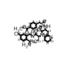 COC(=O)c1ccc(CS(=O)(=O)NC(Cc2ccccn2)C(=O)N[C@@H](CO)C(=O)NCc2cc(Cl)ccc2CN)cc1